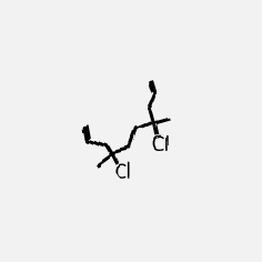 C=CCC(C)(Cl)CCC(C)(Cl)CC=C